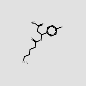 CCCCCC(=O)OC(CC(=O)O)c1ccc(Cl)cc1